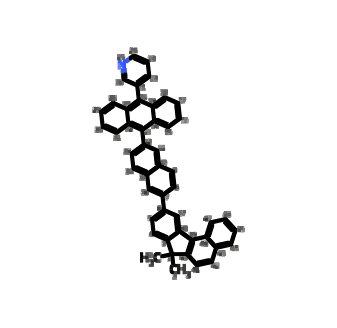 CC1(C)c2ccc(-c3ccc4cc(-c5c6ccccc6c(-c6cccnc6)c6ccccc56)ccc4c3)cc2-c2c1ccc1ccccc21